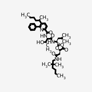 CCCCC(C)c1ccc(C(=O)N[C@H](C(=O)N[C@@H](CC(C)C)B2OC(=O)[C@@H](CC(=O)NCC(C)(C)CCCC)O2)[C@@H](C)O)nc1-c1ccccc1